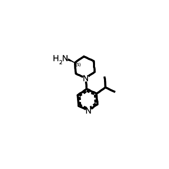 CC(C)c1cnccc1N1CCC[C@H](N)C1